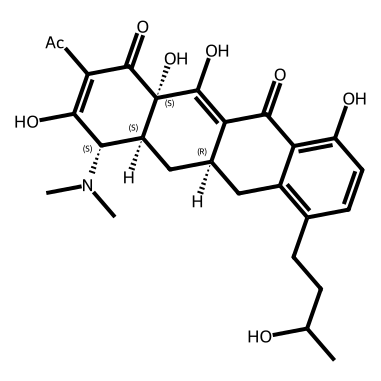 CC(=O)C1=C(O)[C@@H](N(C)C)[C@@H]2C[C@@H]3Cc4c(CCC(C)O)ccc(O)c4C(=O)C3=C(O)[C@]2(O)C1=O